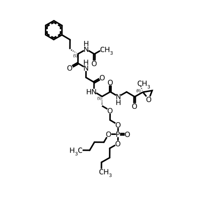 CCCCOP(=O)(OCCCC)OCOC[C@H](NC(=O)CNC(=O)[C@H](CCc1ccccc1)NC(C)=O)C(=O)NCC(=O)[C@@]1(C)CO1